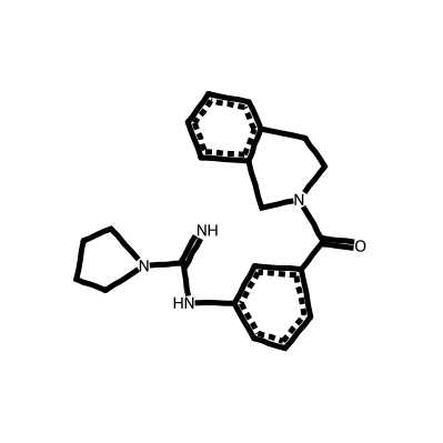 N=C(Nc1cccc(C(=O)N2CCc3ccccc3C2)c1)N1CCCC1